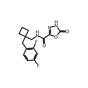 O=C(NCC1(Cc2ccc(F)cc2F)CCC1)c1n[nH]c(=O)o1